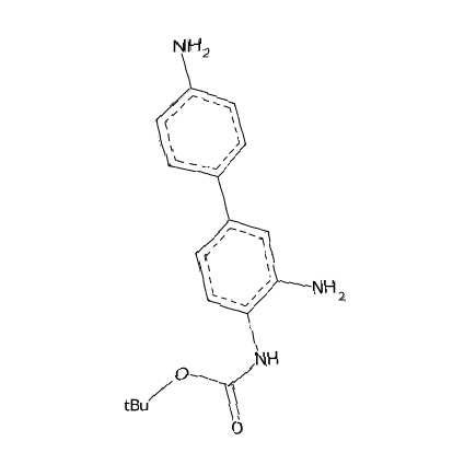 CC(C)(C)OC(=O)Nc1ccc(-c2ccc(N)cc2)cc1N